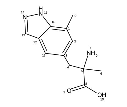 Cc1cc(CC(C)(N)C(=O)O)cc2cn[nH]c12